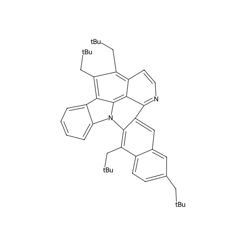 CC(C)(C)Cc1ccc2c(CC(C)(C)C)c3c(cc2c1)c1nccc2c(CC(C)(C)C)c(CC(C)(C)C)c4c5ccccc5n3c4c21